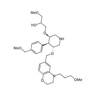 COCCCN1CCOc2ccc(CO[C@H]3CNC[C@H](OCC(O)COC)[C@@H]3c3ccc(COC)cc3)cc21